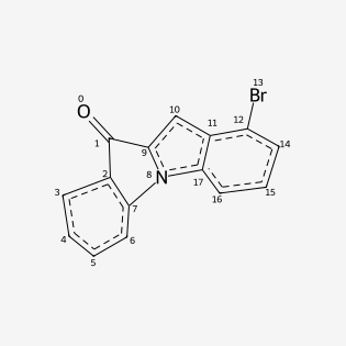 O=C1c2ccccc2-n2c1cc1c(Br)cccc12